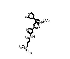 CC(=O)OCn1cc(-c2ccnc(F)c2)c2cc(-c3cncc(NC(=O)/C=C/CN(C)C)c3)cnc21